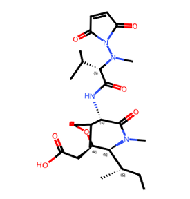 CC[C@H](C)[C@@H]([C@@H](CC(=O)O)OC)N(C)C(=O)[C@@H](NC(=O)[C@H](C(C)C)N(C)N1C(=O)C=CC1=O)C(C)C